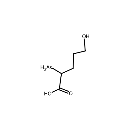 O=C(O)C([AsH2])CCCO